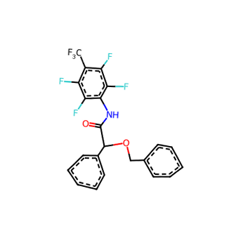 O=C(Nc1c(F)c(F)c(C(F)(F)F)c(F)c1F)C(OCc1ccccc1)c1ccccc1